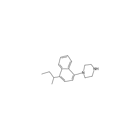 CCC(C)c1ccc(N2CCNCC2)c2ccccc12